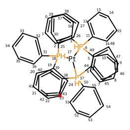 c1ccc([PH](c2ccccc2)(c2ccccc2)[Pt]([PH](c2ccccc2)(c2ccccc2)c2ccccc2)[PH](c2ccccc2)(c2ccccc2)c2ccccc2)cc1